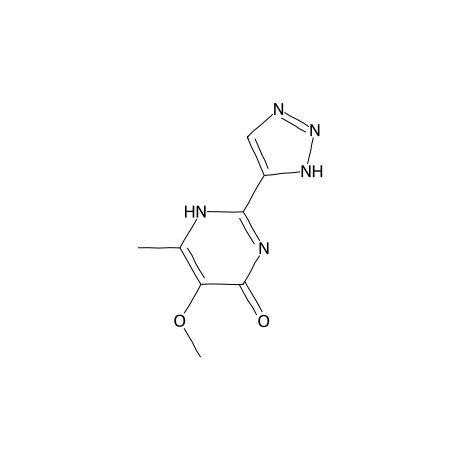 COc1c(C)[nH]c(-c2cnn[nH]2)nc1=O